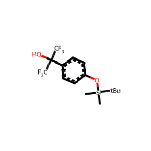 CC(C)(C)[Si](C)(C)Oc1ccc(C(O)(C(F)(F)F)C(F)(F)F)cc1